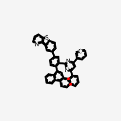 c1ccc(-c2cc(-c3ccccc3)nc(-c3cc(-c4ccc5sc6cccnc6c5c4)ccc3-c3cc4ccccc4c4ccccc34)n2)cc1